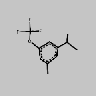 [CH2]C(C)c1cc(I)cc(OC(F)(F)F)c1